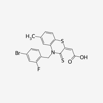 Cc1ccc2c(c1)N(Cc1ccc(Br)cc1F)C(=S)C(=CC(=O)O)S2